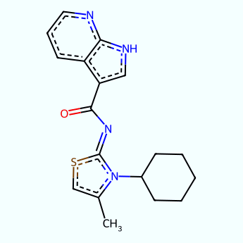 Cc1cs/c(=N\C(=O)c2c[nH]c3ncccc23)n1C1CCCCC1